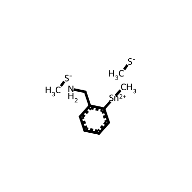 C[S-].C[S-].[CH3][Sn+2][c]1ccccc1CN